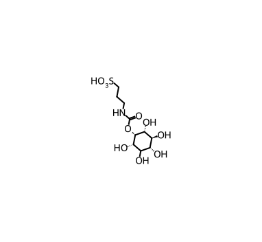 O=C(NCCCS(=O)(=O)O)O[C@@H]1[C@H](O)[C@@H](O)[C@H](O)C(O)[C@@H]1O